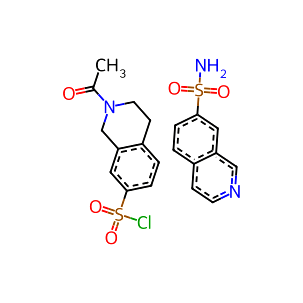 CC(=O)N1CCc2ccc(S(=O)(=O)Cl)cc2C1.NS(=O)(=O)c1ccc2ccncc2c1